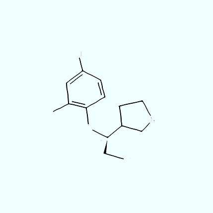 Cc1cc(Cl)ccc1O[C@H](CC(C)C)C1CCNC1